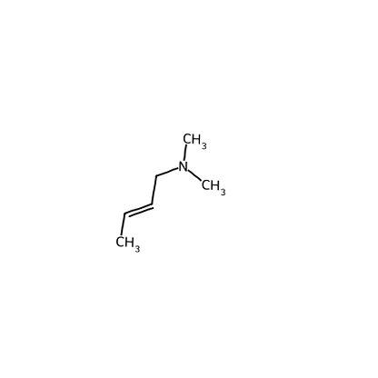 C/C=C/CN(C)C